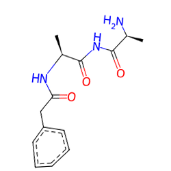 C[C@H](N)C(=O)NC(=O)[C@H](C)NC(=O)Cc1ccccc1